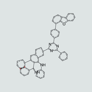 N=C(c1ccccc1)c1c(-c2ccccc2)cc2ccc(-c3nc(-c4ccccc4)nc(-c4ccc(-c5cccc6c5oc5ccccc56)cc4)n3)cc2c1Nc1ccccc1